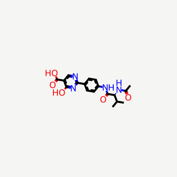 CC(=O)N[C@@H](C(=O)Nc1ccc(-c2ncc(C(=O)O)c(O)n2)cc1)C(C)C